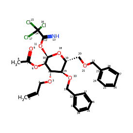 C=CCO[C@@H]1[C@@H](OC(C)=O)[C@@H](OC(=N)C(Cl)(Cl)Cl)O[C@H](COCc2ccccc2)[C@H]1OCc1ccccc1